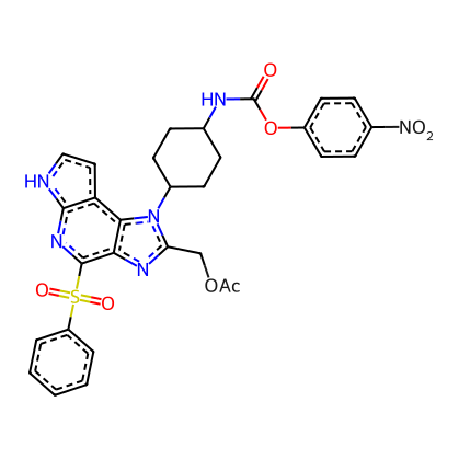 CC(=O)OCc1nc2c(S(=O)(=O)c3ccccc3)nc3[nH]ccc3c2n1C1CCC(NC(=O)Oc2ccc([N+](=O)[O-])cc2)CC1